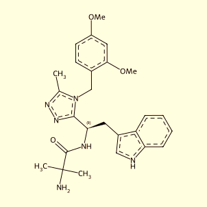 COc1ccc(Cn2c(C)nnc2[C@@H](Cc2c[nH]c3ccccc23)NC(=O)C(C)(C)N)c(OC)c1